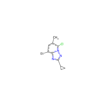 CCc1cc(C)c(Cl)n2nc(C3CC3)nc12